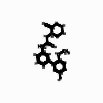 COc1ccc(F)cc1-c1cc(NC(=O)CN2CCCCC2=O)ncn1